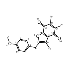 COc1ccc(Cc2oc3c(c2C)C(=O)C(C)=C(C)C3=O)cc1